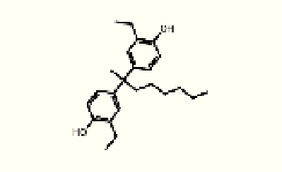 CCCCCCC(C)(c1ccc(O)c(CC)c1)c1ccc(O)c(CC)c1